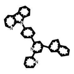 c1ccc(-c2cc(-c3ccc4ccccc4c3)cc(-c3ccc(-n4c5ccccc5c5cccnc54)cc3)n2)nc1